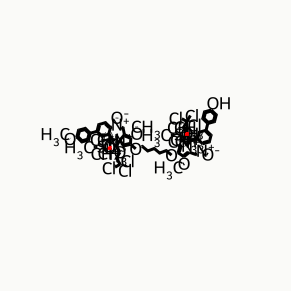 COC1=C2C=[N+]([O-])C3=CC=C(c4ccc(O)cc4)C[C@@H]3[C@H](O[Si](C)(C)C(C)(C)C)[N+]2(C(=O)OCC(Cl)(Cl)Cl)C=C1OCCCCCOC1=C[N+]2(C(=O)OCC(Cl)(Cl)Cl)C(=C1OC)C=[N+]([O-])C1=CC=C(c3ccc(OC)cc3)C[C@@H]1[C@@H]2O[Si](C)(C)C(C)(C)C